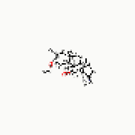 C/C=C1/CC[C@H]2[C@@H]3CC[C@H]4C[C@H](C)[C@@H](OCC)C[C@]4(C)[C@H]3C(=O)C[C@]12C